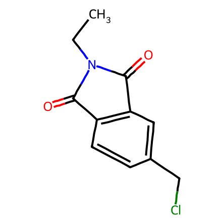 CCN1C(=O)c2ccc(CCl)cc2C1=O